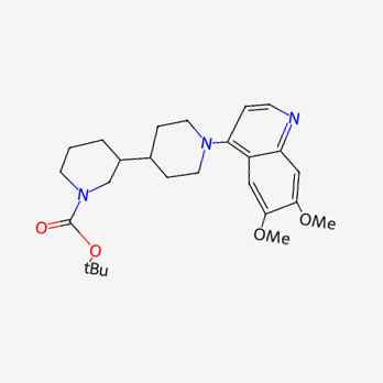 COc1cc2nccc(N3CCC(C4CCCN(C(=O)OC(C)(C)C)C4)CC3)c2cc1OC